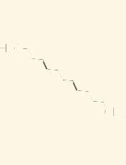 CCCC=CCCC=CCCCC